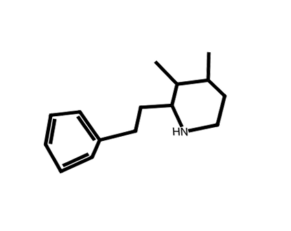 CC1CCNC(CCc2ccccc2)C1C